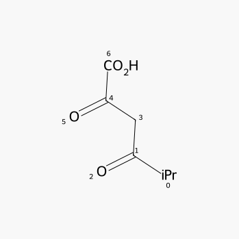 CC(C)C(=O)CC(=O)C(=O)O